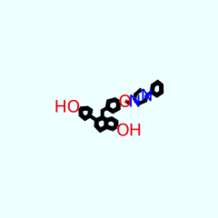 Oc1ccc(-c2ccc3cc(O)ccc3c2Cc2ccc(OCN3CCN(c4ccccc4)CC3)cc2)cc1